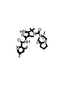 C[C@H]1CN2CCC[C@H]2CN1C(=O)N1Cc2c(NC(=O)c3ncc(F)cc3F)n[nH]c2C1(C)C